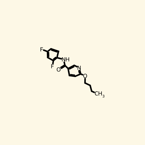 CCCCOc1ccc(C(=O)Nc2ccc(F)cc2F)cn1